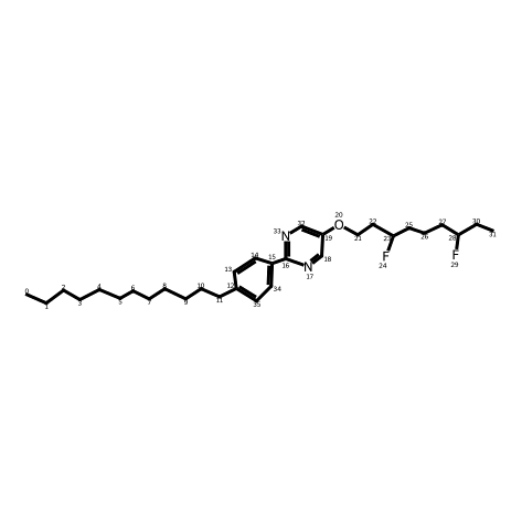 CCCCCCCCCCCCc1ccc(-c2ncc(OCCC(F)CCCC(F)CC)cn2)cc1